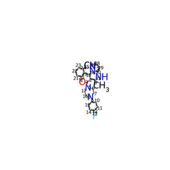 CC1=C(C(=O)N2CCN(c3ccc(F)cc3)CC2)C(c2ccccc2C)n2nccc2N1